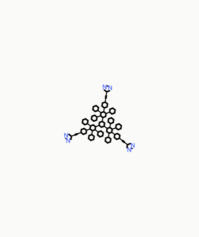 C(#Cc1cncnc1)c1ccc(-c2c(-c3ccccc3)cc(-c3cc(-c4cc(-c5ccccc5)c(-c5ccc(C#Cc6cncnc6)cc5)c(-c5ccccc5)c4-c4ccccc4)cc(-c4cc(-c5ccccc5)c(-c5ccc(C#Cc6cncnc6)cc5)c(-c5ccccc5)c4-c4ccccc4)c3)c(-c3ccccc3)c2-c2ccccc2)cc1